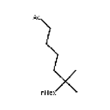 CCCCCCC(C)(C)CCCCC(C)=O